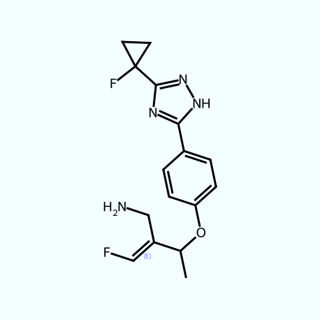 CC(Oc1ccc(-c2nc(C3(F)CC3)n[nH]2)cc1)/C(=C/F)CN